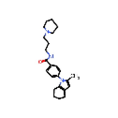 Cc1cc2c(n1-c1ccc(C(=O)NCCCN3CCCCC3)cc1)CCCC2